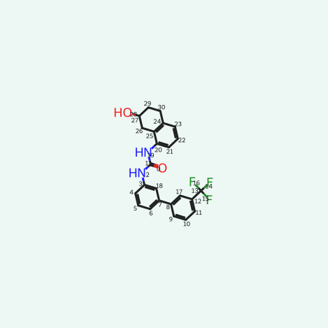 O=C(Nc1cccc(-c2cccc(C(F)(F)F)c2)c1)Nc1cccc2c1CC(O)CC2